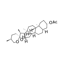 CC(=O)O[C@H]1CC[C@@]2(C)[C@H](CC[C@@H]3[C@@H]2CC[C@]2(C)[C@@H]4[C@H](C[C@@H]32)O[C@]2(CC[C@H](C)CO2)[C@H]4C)C1